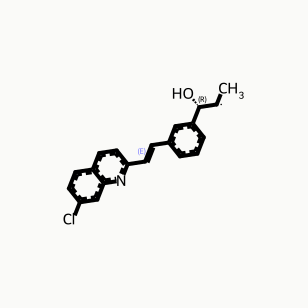 C[CH][C@@H](O)c1cccc(/C=C/c2ccc3ccc(Cl)cc3n2)c1